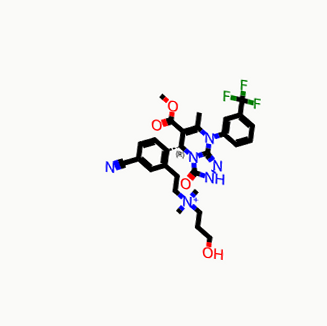 COC(=O)C1=C(C)N(c2cccc(C(F)(F)F)c2)c2n[nH]c(=O)n2[C@@H]1c1ccc(C#N)cc1CC[N+](C)(C)CCCO